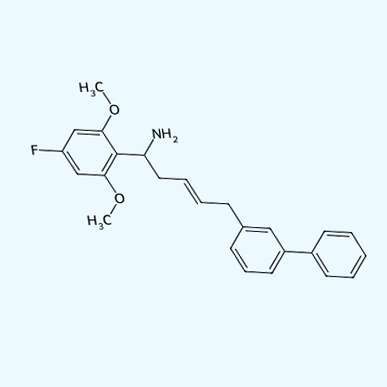 COc1cc(F)cc(OC)c1C(N)CC=CCc1cccc(-c2ccccc2)c1